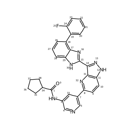 O=C(Nc1cncc(-c2ccc3[nH]nc(-c4nc5c(-c6ccccc6F)cccc5[nH]4)c3n2)c1)C1CCCC1